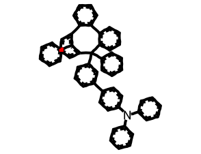 c1ccc(-c2c3cccc2C(c2ccccc2)(c2cccc(-c4ccc(N(c5ccccc5)c5ccccc5)cc4)c2)c2ccccc2-c2ccccc2-3)cc1